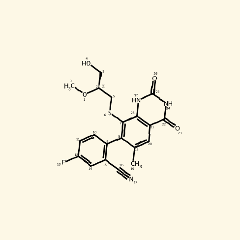 CO[C@@H](CO)CSc1c(-c2ccc(F)cc2C#N)c(C)cc2c(=O)[nH]c(=O)[nH]c12